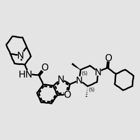 C[C@H]1CN(C(=O)C2CCCCC2)C[C@H](C)N1c1nc2c(C(=O)NC3CC4CCCC(C3)N4C)cccc2o1